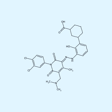 CC1=C(CN(C)C)C(=O)N(c2ccc(Cl)c(Cl)c2)C(=O)/C1=N/Nc1cccc(C2CCCC(C(=O)O)C2)c1O